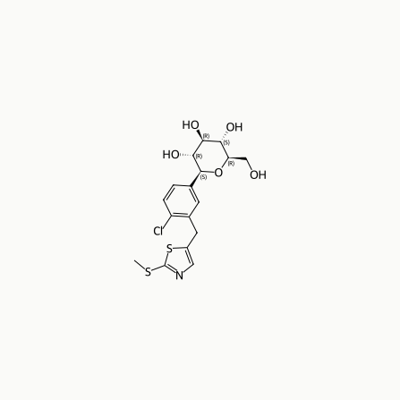 CSc1ncc(Cc2cc([C@@H]3O[C@H](CO)[C@@H](O)[C@H](O)[C@H]3O)ccc2Cl)s1